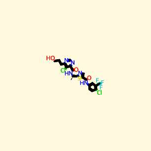 C[C@H](NC(=O)c1ncnc(CCCO)c1Cl)c1ncc(C(=O)Nc2ccc(Cl)c(C(F)(F)F)c2)s1